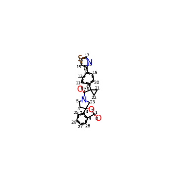 O=C1OC2(CCN(C(=O)C3(c4ccc(-c5cscn5)cc4)CC3)C2)c2ccccc21